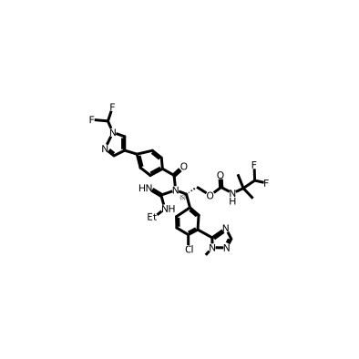 CCNC(=N)N(C(=O)c1ccc(-c2cnn(C(F)F)c2)cc1)[C@H](COC(=O)NC(C)(C)C(F)F)c1ccc(Cl)c(-c2ncnn2C)c1